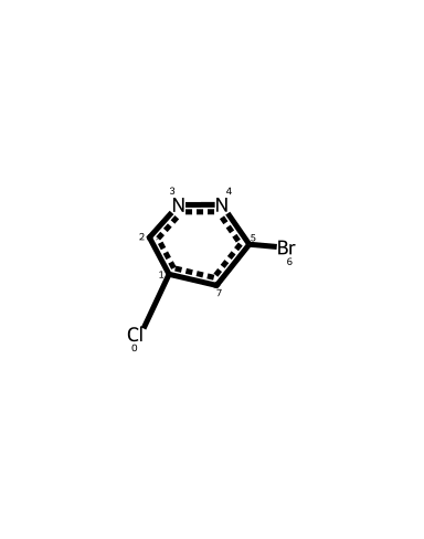 Clc1cnnc(Br)c1